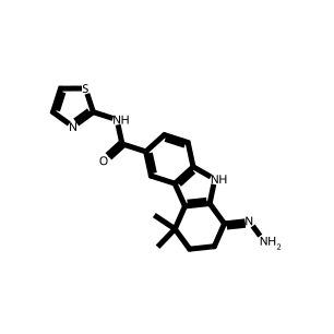 CC1(C)CC/C(=N\N)c2[nH]c3ccc(C(=O)Nc4nccs4)cc3c21